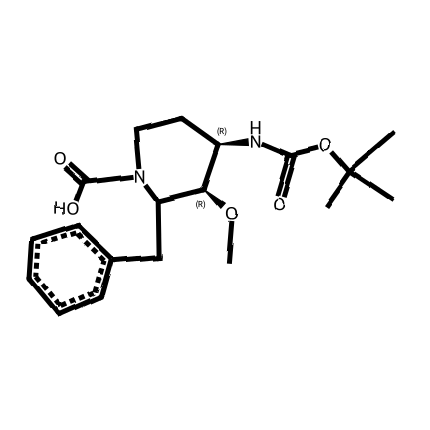 CO[C@H]1C(Cc2ccccc2)N(C(=O)O)CC[C@H]1NC(=O)OC(C)(C)C